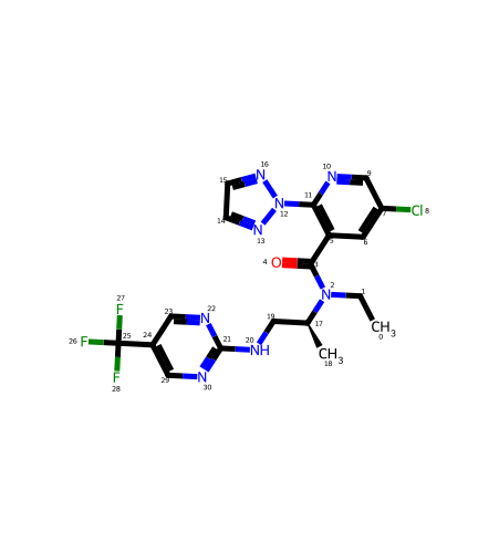 CCN(C(=O)c1cc(Cl)cnc1-n1nccn1)[C@@H](C)CNc1ncc(C(F)(F)F)cn1